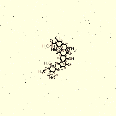 CNC(=O)c1c(C)cc2c(c1O)[C@]1(O)C(=O)c3cc4c(c(O)c3C(=O)[C@]1(OC)[C@H](O)C2)C(=O)C=C(NC1O[C@@H](C)[C@H](OC)[C@@H](O)[C@H]1CO)C4=O